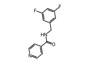 O=C(NCc1cc(F)cc(F)c1)c1ccncc1